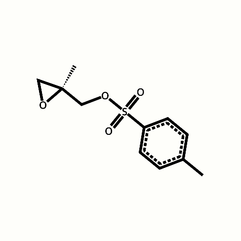 Cc1ccc(S(=O)(=O)OC[C@]2(C)CO2)cc1